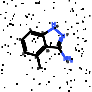 [CH2]c1cccc2[nH]nc(N)c12